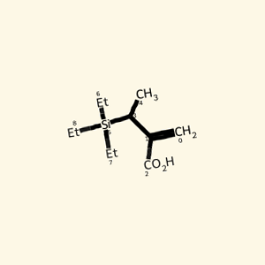 C=C(C(=O)O)C(C)[Si](CC)(CC)CC